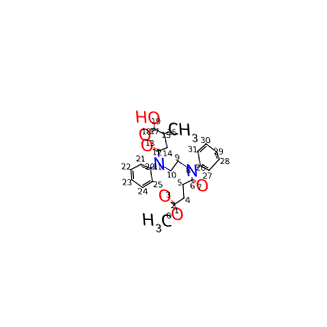 COC(=O)CCC(=O)N(CCN(C(=O)CC(C)C(=O)O)c1ccccc1)c1ccccc1